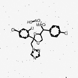 COC(c1ccc(Cl)cc1)C1COC(Cn2cncn2)(c2ccc(Cl)cc2Cl)O1.O=[N+]([O-])O